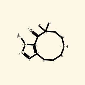 CC(C)n1ncc2c1C(=O)C(C)(C)CCNCCC2